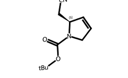 CC(C)(C)OC(=O)N1CC=C[C@@H]1CC#N